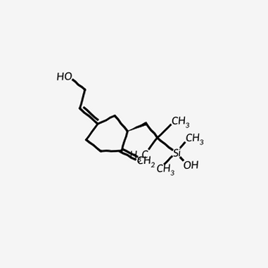 C=C1CC/C(=C/CO)C[C@H]1CC(C)(C)[Si](C)(C)O